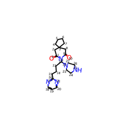 O=C1CC2(CCCC2)CC(=O)N1C(CCCc1ncccn1)N1CCNCC1